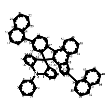 c1ccc(N2c3ccccc3C3(c4cc(-c5cccc6ccccc56)ccc4-c4c3c3ccc(-c5cccc6ccccc56)cc3c3ccccc43)c3ccccc32)cc1